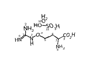 N=C(N)NOCCC(N)C(=O)O.O.O=S(=O)(O)O